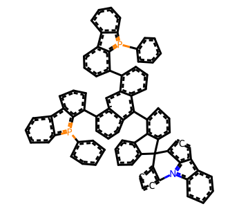 c1ccc(-p2c3ccccc3c3cccc(-c4cccc5c(-c6cccc7c6-c6ccccc6C76c7ccccc7-n7c8ccccc8c8cccc6c87)c6cccc(-c7cccc8c9ccccc9p(-c9ccccc9)c78)c6cc45)c32)cc1